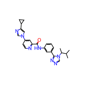 CC(C)C(C)n1cnnc1-c1cccc(NC(=O)c2cc(-n3cnc(C4CC4)c3)ccn2)c1